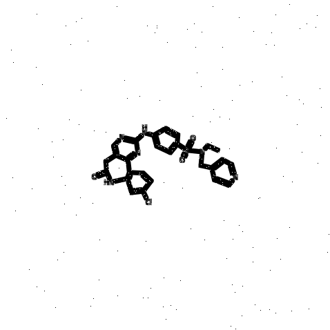 CCN(Cc1ccncc1)S(=O)(=O)c1ccc(Nc2ncc3c(n2)-c2ccc(Cl)cc2NC(=O)C3)cc1